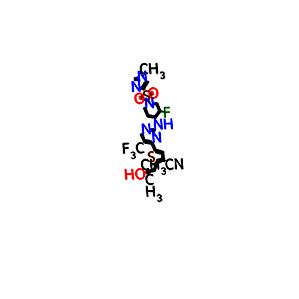 Cn1cnc(S(=O)(=O)N2CC[C@@H](Nc3ncc(C(F)(F)F)c(-c4cc(C#N)c(CC(C)(C)O)s4)n3)[C@H](F)C2)c1